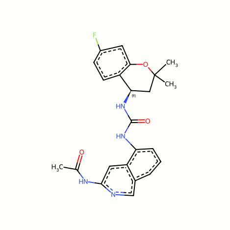 CC(=O)Nc1cc2c(NC(=O)N[C@@H]3CC(C)(C)Oc4cc(F)ccc43)cccc2cn1